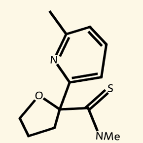 CNC(=S)C1(c2cccc(C)n2)CCCO1